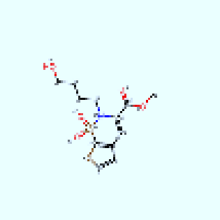 COC(=O)C1=Cc2ccsc2S(=O)(=O)N1CCCCO